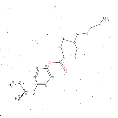 CCCCCC1CCC(C(=O)Oc2ccc(C[C@@H](C)CC)cc2)CC1